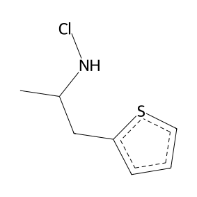 CC(Cc1cccs1)NCl